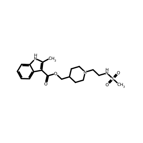 Cc1[nH]c2ccccc2c1C(=O)OCC1CCN(CCNS(C)(=O)=O)CC1